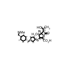 CNC[C@H]1CC[C@H](CN2CC[C@@H](SC3=C(C(=O)O)N4C(=O)[C@H]([C@@H](C)O)[C@H]4[C@H]3C)C2)CC1